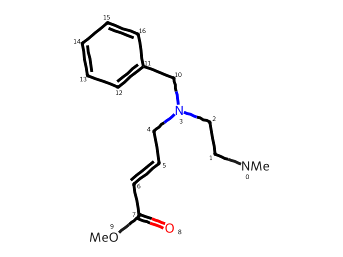 CNCCN(C/C=C/C(=O)OC)Cc1ccccc1